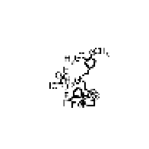 COc1ccc(CCN(C)CCCC2(c3cccc(C(F)(F)F)c3)S(=O)(=O)CCCS2(=O)=O)cc1OC.O=C(O)C(=O)O